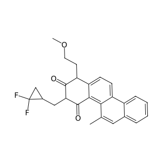 COCCC1C(=O)C(CC2CC2(F)F)C(=O)c2c1ccc1c2c(C)cc2ccccc21